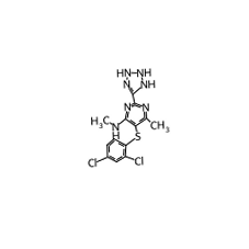 CNc1nc(C2=NNNN2)nc(C)c1Sc1ccc(Cl)cc1Cl